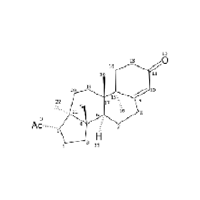 CC(=O)[C@H]1CC[C@@]2(C)[C@@H]3CCC4=CC(=O)CC[C@]4(C)[C@@]3(C)CC[C@]12C